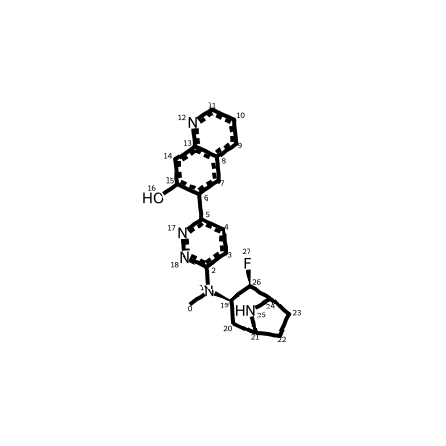 CN(c1ccc(-c2cc3cccnc3cc2O)nn1)[C@@H]1CC2CCC(N2)[C@@H]1F